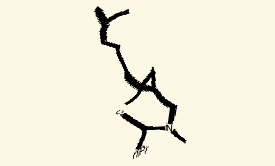 CCCC(=O)N(C)CC1CC1(C)CCC=C(C)C